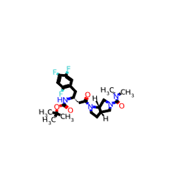 CN(C)C(=O)N1C[C@@H]2CCN(C(=O)C[C@@H](Cc3cc(F)c(F)cc3F)NC(=O)OC(C)(C)C)[C@@H]2C1